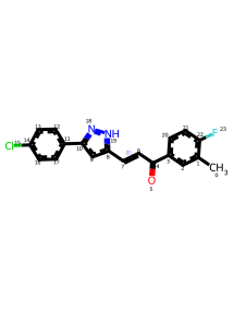 Cc1cc(C(=O)/C=C/c2cc(-c3ccc(Cl)cc3)n[nH]2)ccc1F